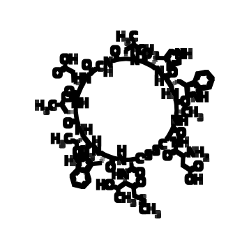 CSCC(=O)[C@@H](NC(=O)[C@@H]1CSSC[C@H](NC(=O)[C@@H](N)CC(=O)O)C(=O)N[C@@H](C)C(=O)N[C@@H](Cc2c[nH]c3ccccc23)C(=O)N[C@@H](Cc2c[nH]cn2)C(=O)N[C@@H](CC(C)C)C(=O)NCC(=O)N[C@@H](CCC(=O)O)C(=O)N[C@@H](CC(C)C)C(=O)N[C@@H](C(C)C)C(=O)N[C@@H](Cc2c[nH]c3ccccc23)C(=O)N1)[C@@H](C)O